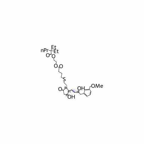 CCCC(CC)(CC)C(=O)OCCOC(=O)CCCSCC[C@H]1C(=O)C[C@@H](O)[C@@H]1/C=C/[C@@H](O)Cc1cccc(COC)c1